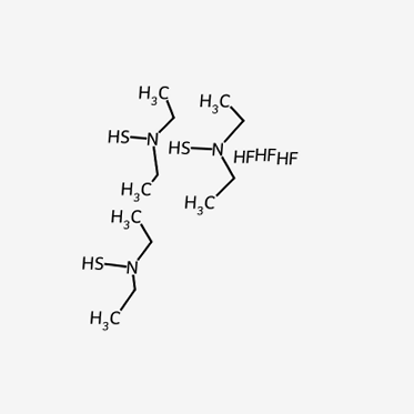 CCN(S)CC.CCN(S)CC.CCN(S)CC.F.F.F